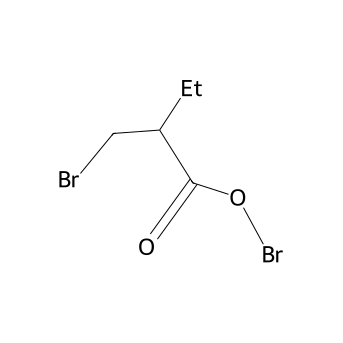 CCC(CBr)C(=O)OBr